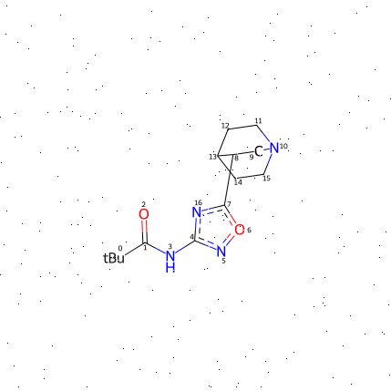 CC(C)(C)C(=O)Nc1noc(C2CN3CCC2CC3)n1